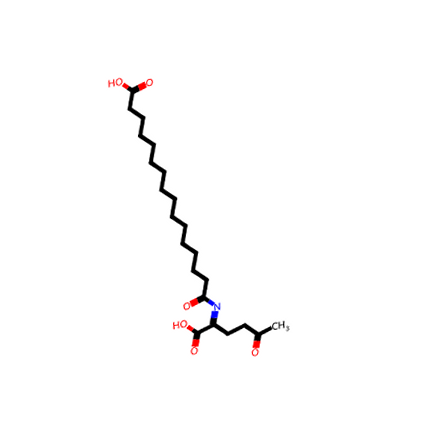 CC(=O)CCC(=NC(=O)CCCCCCCCCCCCCCC(=O)O)C(=O)O